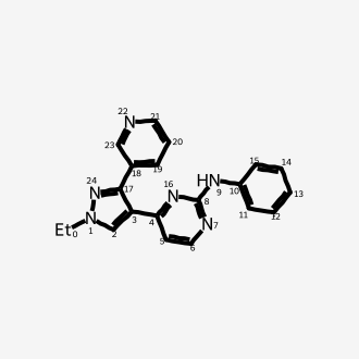 CCn1cc(-c2ccnc(Nc3c[c]ccc3)n2)c(-c2cccnc2)n1